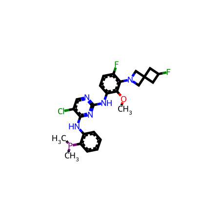 COc1c(Nc2ncc(Cl)c(Nc3ccccc3P(C)C)n2)ccc(F)c1N1CC2(CC(F)C2)C1